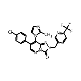 Cc1nccn1-c1c(-c2ccc(Cl)cc2)cnn2c(=O)n(Cc3ccc(C(F)(F)F)nc3)nc12